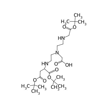 CC(C)(C)OC(=O)CNCCN(CCNC(CC(=O)OC(C)(C)C)C(=O)OC(C)(C)C)CC(=O)O